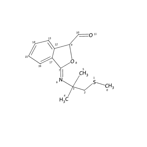 CSCC(C)(C)N=C1OC(C=O)c2ccccc21